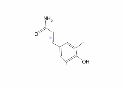 Cc1cc(/C=C/C(N)=O)cc(C)c1O